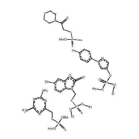 CCCSP(=O)(OCC)Oc1cnn(-c2ccc(Cl)cc2)c1.CCOP(=S)(OCC)SCn1c(=O)oc2cc(Cl)ccc21.COP(=S)(OC)SCC(=O)N1CCOCC1.COP(=S)(OC)SCc1nc(N)nc(N)n1